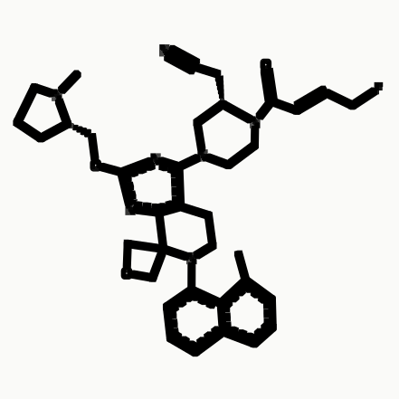 Cc1cccc2cccc(N3CCc4c(N5CCN(C(=O)/C=C/CF)[C@@H](CC#N)C5)nc(OC[C@@H]5CCCN5C)nc4C34COC4)c12